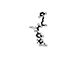 CC(C)C(CCCCN1C(=O)C=CC1=O)OC(=O)/C(=C/Nc1ccn([C@@H]2O[C@H](CO)C(O)C2(F)F)c(=O)n1)C(=O)O